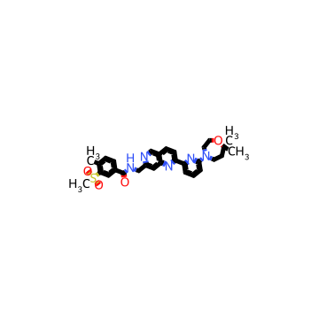 Cc1ccc(C(=O)NCc2cc3nc(-c4cccc(N5CCOC(C)(C)CC5)n4)ccc3cn2)cc1S(C)(=O)=O